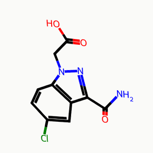 NC(=O)c1nn(CC(=O)O)c2ccc(Cl)cc12